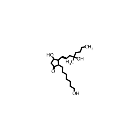 CCCC[C@](C)(O)CC=CC1C(O)CC(=O)C1CCCCCCCO